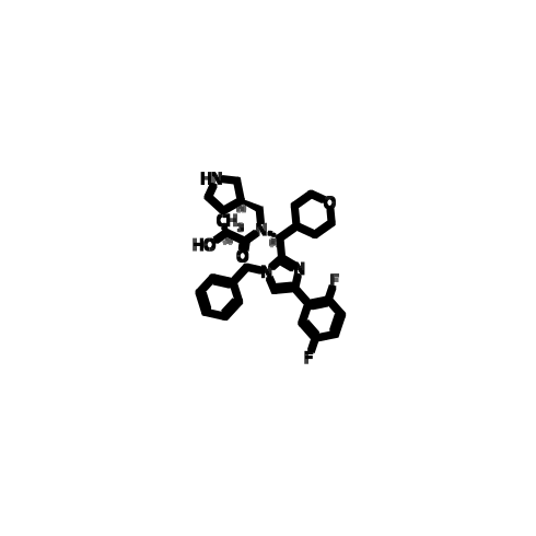 C[C@H](O)C(=O)N(C[C@H]1CCNC1)[C@@H](c1nc(-c2cc(F)ccc2F)cn1Cc1ccccc1)C1CCOCC1